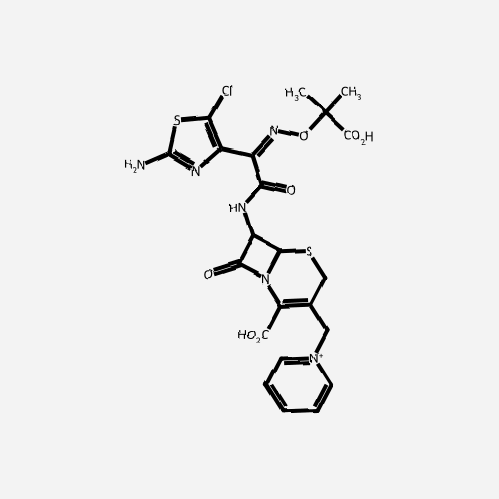 CC(C)(O/N=C(\C(=O)NC1C(=O)N2C(C(=O)O)=C(C[n+]3ccccc3)CSC12)c1nc(N)sc1Cl)C(=O)O